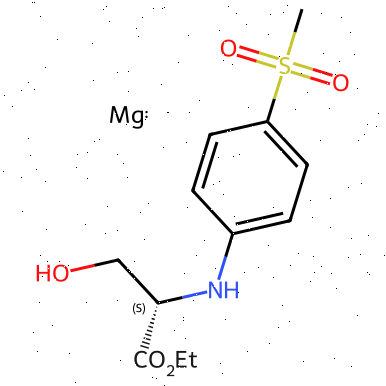 CCOC(=O)[C@H](CO)Nc1ccc(S(C)(=O)=O)cc1.[Mg]